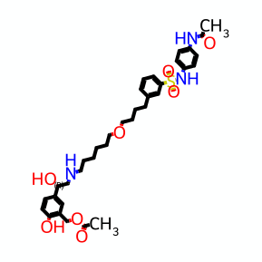 CC(=O)Nc1ccc(NS(=O)(=O)c2cccc(CCCCOCCCCCCNC[C@H](O)c3ccc(O)c(COC(C)=O)c3)c2)cc1